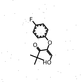 CC(C)(C)C(=O)C(=CO)Oc1ccc(F)cc1